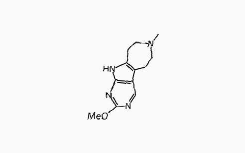 COc1ncc2c3c([nH]c2n1)CCN(C)CC3